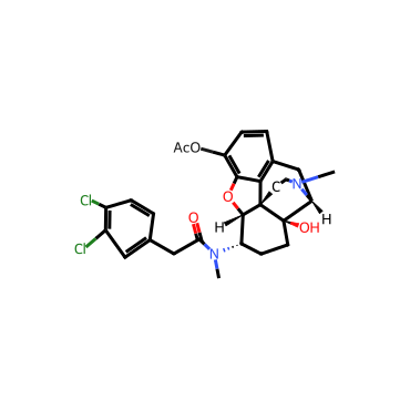 CC(=O)Oc1ccc2c3c1O[C@H]1[C@@H](N(C)C(=O)Cc4ccc(Cl)c(Cl)c4)CC[C@@]4(O)[C@@H](C2)N(C)CC[C@]314